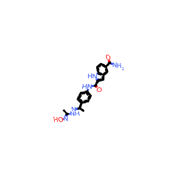 C/C(=N\O)N/N=C(\C)c1ccc(NC(=O)c2cc3cc(C(N)=O)ccc3[nH]2)cc1